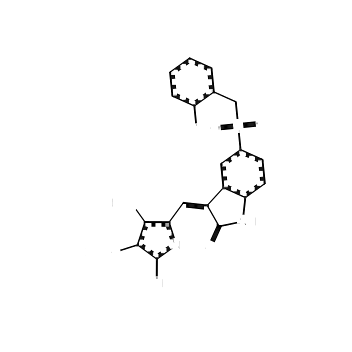 Cc1[nH]c(/C=C2\C(=O)Nc3ccc(S(=O)(=O)Cc4ccccc4Cl)cc32)c(C)c1C(=O)O